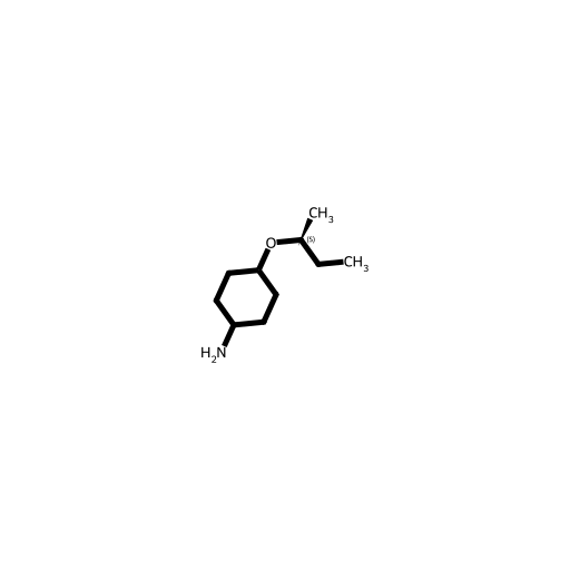 CC[C@H](C)OC1CCC(N)CC1